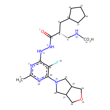 Cc1nc(NNC(=O)[C@@H](CNC(=O)O)CC2CCCC2)c(F)c(N2CC3COCC3C2)n1